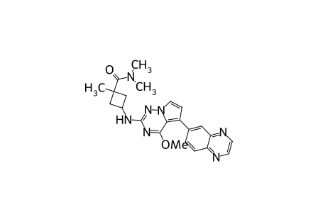 COc1nc(NC2CC(C)(C(=O)N(C)C)C2)nn2ccc(-c3ccc4nccnc4c3)c12